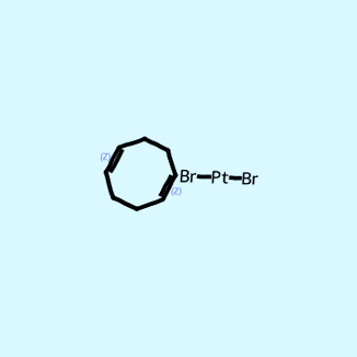 C1=C\CC/C=C\CC/1.[Br][Pt][Br]